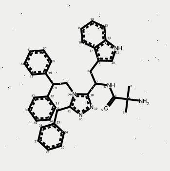 CC(C)(N)C(=O)NC(Cc1c[nH]c2ccccc12)c1nnc(Cc2ccccc2)n1CC(c1ccccc1)c1ccccc1